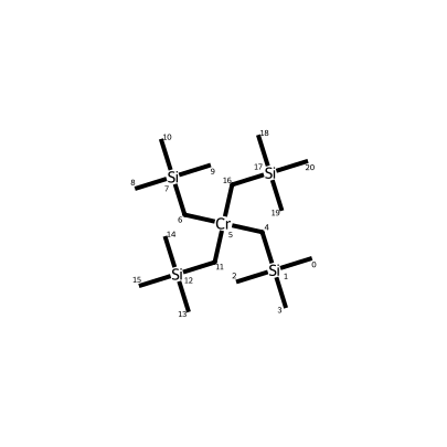 C[Si](C)(C)[CH2][Cr]([CH2][Si](C)(C)C)([CH2][Si](C)(C)C)[CH2][Si](C)(C)C